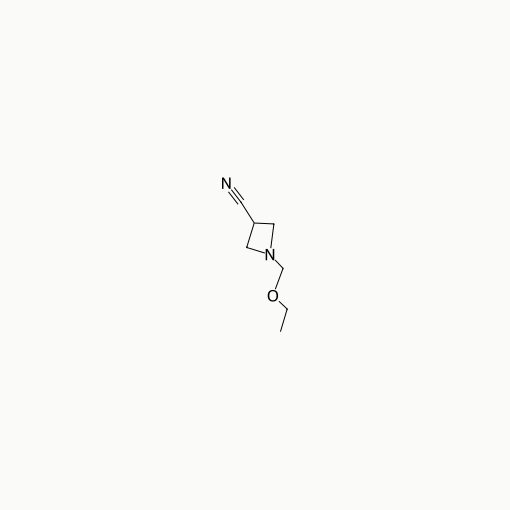 CCOCN1CC(C#N)C1